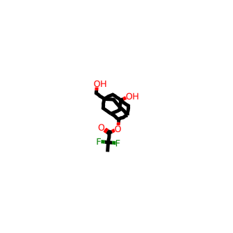 CC(F)(F)C(=O)OC1C2CC3(O)CC1CC(CO)(C2)C3